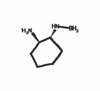 BN[C@@H]1CCCC[C@H]1N